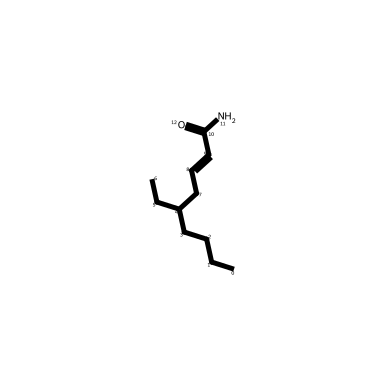 CCCCC(CC)CC=CC(N)=O